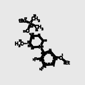 CCOc1cc(F)c(F)c(N2CC[C@@H](O[Si](C)(C)C(C)(C)C)[C@@H](C)C2)c1